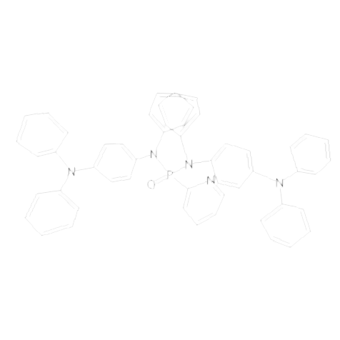 O=P(c1ccccn1)(N(c1ccccc1)c1ccc(N(c2ccccc2)c2ccccc2)cc1)N(c1ccccc1)c1ccc(N(c2ccccc2)c2ccccc2)cc1